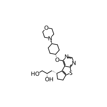 OC[C@@H](O)C[C@H]1CCc2sc3ncnc(O[C@H]4CC[C@H](N5CCOCC5)CC4)c3c21